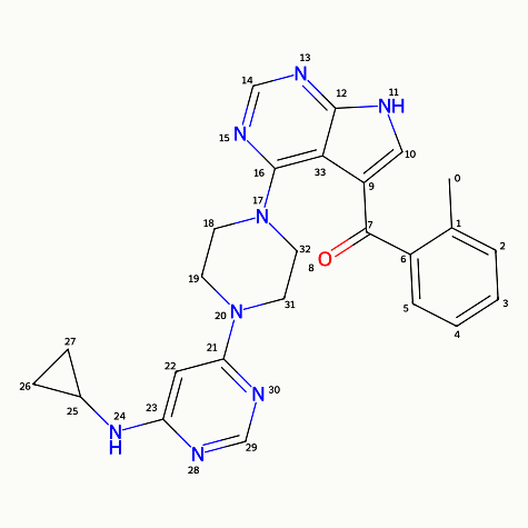 Cc1ccccc1C(=O)c1c[nH]c2ncnc(N3CCN(c4cc(NC5CC5)ncn4)CC3)c12